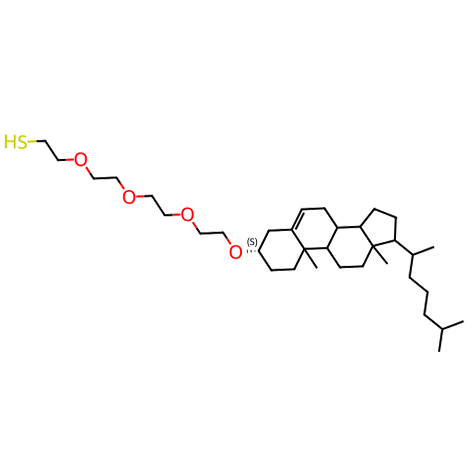 CC(C)CCCC(C)C1CCC2C3CC=C4C[C@@H](OCCOCCOCCOCCS)CCC4(C)C3CCC12C